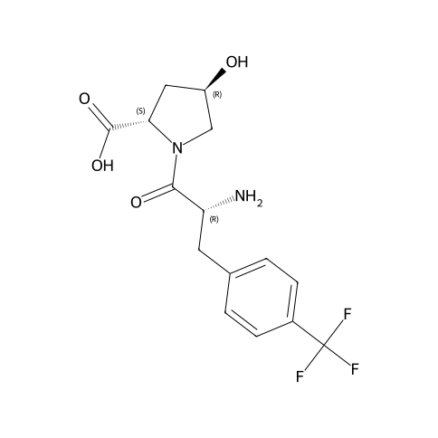 N[C@H](Cc1ccc(C(F)(F)F)cc1)C(=O)N1C[C@H](O)C[C@H]1C(=O)O